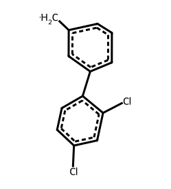 [CH2]c1cccc(-c2ccc(Cl)cc2Cl)c1